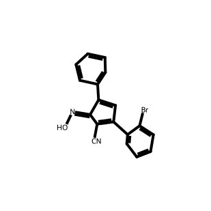 N#CC1=C(c2ccccc2Br)C=C(c2ccccc2)/C1=N/O